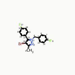 Cc1nn(Cc2ccc(F)cc2)c(-c2ccc(F)cc2)c1Br